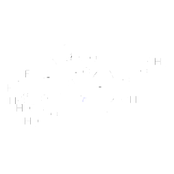 COCOc1cc(OC)cc(/C=C/C[C@@H]2OC(C)(C)O[C@@H]2C(/C=C\C[C@@H](O)C(F)(F)F)OC(=O)c2ccccc2)c1C(=O)O